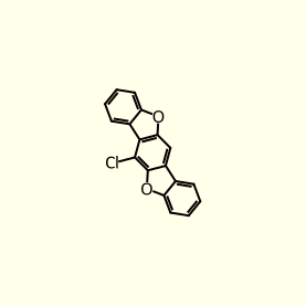 Clc1c2oc3ccccc3c2cc2oc3ccccc3c12